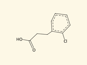 O=C(O)CCc1ccccc1Cl